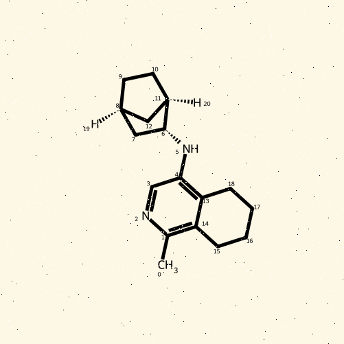 Cc1ncc(N[C@@H]2C[C@H]3CC[C@@H]2C3)c2c1CCCC2